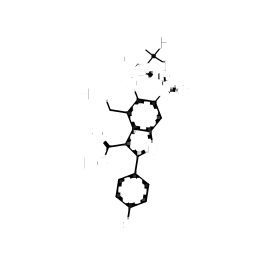 CCc1c(OS(=O)(=O)C(F)(F)F)c([N+](=O)[O-])cc2oc(-c3ccc(Cl)cc3)c(C(=O)O)c12